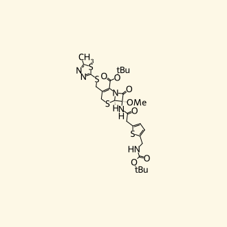 CO[C@@]1(NC(=O)Cc2ccc(CNC(=O)OC(C)(C)C)s2)C(=O)N2C(C(=O)OC(C)(C)C)=C(CSc3nnc(C)s3)CS[C@@H]21